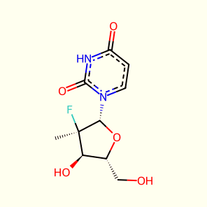 C[C@@]1(F)[C@H](O)[C@@H](CO)O[C@H]1n1ccc(=O)[nH]c1=O